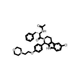 CC(=O)N[C@@H](Cc1ccccc1)C(=O)N1CCc2c([nH]c3ccc(Cl)cc23)C1c1ccc(OCCN2CCOCC2)cc1